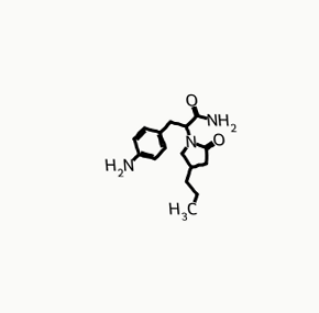 CCCC1CC(=O)N(C(Cc2ccc(N)cc2)C(N)=O)C1